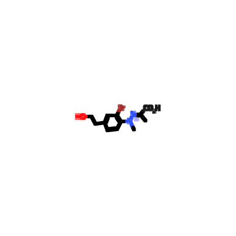 C/C(=N\N(C)c1ccc(CCO)cc1Br)C(=O)O